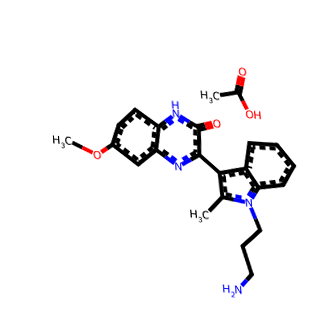 CC(=O)O.COc1ccc2[nH]c(=O)c(-c3c(C)n(CCCN)c4ccccc34)nc2c1